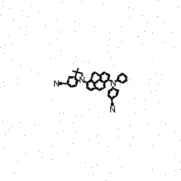 CC1(C)CN(c2ccc3ccc4c(N(c5ccccc5)c5ccc(C#N)cc5)ccc5ccc2c3c54)c2ccc(C#N)cc21